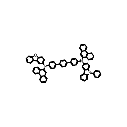 C1=Cc2c(N(c3ccc(-c4ccc(-c5ccc(N(c6ccc7oc8ccccc8c7c6)c6cc7ccccc7c7ccccc67)cc5)cc4)cc3)c3ccc4c(c3)c3ccccc3n4-c3ccccc3)cc3ccccc3c2CC1